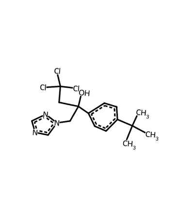 CC(C)(C)c1ccc(C(O)(Cn2cncn2)CC(Cl)(Cl)Cl)cc1